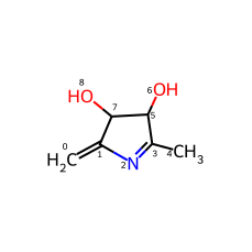 C=C1N=C(C)C(O)C1O